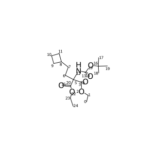 CCOC(=O)C(CCC1CCC1)(NC(=O)OC(C)(C)C)C(=O)OCC